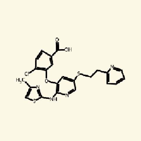 Cc1csc(Nc2ncc(SCCc3ccccn3)cc2Oc2cc(C(=O)O)ccc2Cl)n1